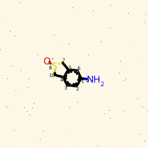 Nc1ccc2c(c1)C[S+]([O-])C2